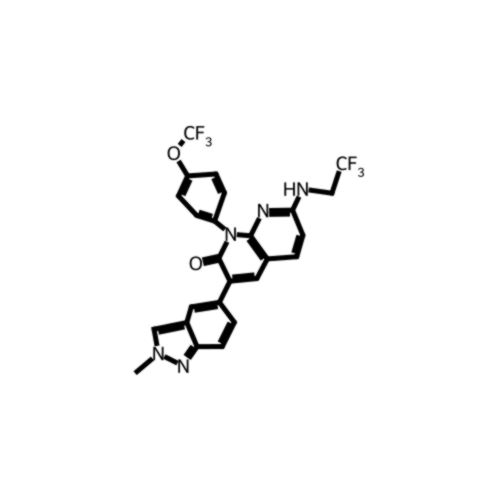 Cn1cc2cc(-c3cc4ccc(NCC(F)(F)F)nc4n(-c4ccc(OC(F)(F)F)cc4)c3=O)ccc2n1